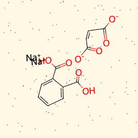 O=C(O)c1ccccc1C(=O)O.O=C([O-])/C=C\C(=O)[O-].[Na+].[Na+]